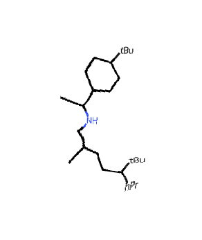 CCCC(CCC(C)CNC(C)C1CCC(C(C)(C)C)CC1)C(C)(C)C